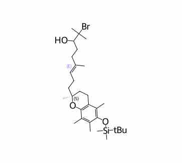 C/C(=C\CC[C@@]1(C)CCc2c(C)c(O[Si](C)(C)C(C)(C)C)c(C)c(C)c2O1)CCC(O)C(C)(C)Br